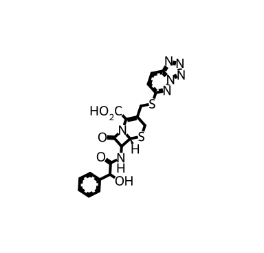 O=C(O)C1=C(CSc2ccc3nnnn3n2)CS[C@@H]2C(NC(=O)C(O)c3ccccc3)C(=O)N12